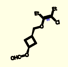 CC/C(Cl)=C(\CC)OC[C@H]1C[C@@H](OC=O)C1